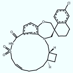 O=C1NS(=O)(=O)CC=CCCC[C@@H]2CC[C@H]2CN2C[C@@]3(CCCc4cc(Cl)ccc43)COc3ccc1cc32